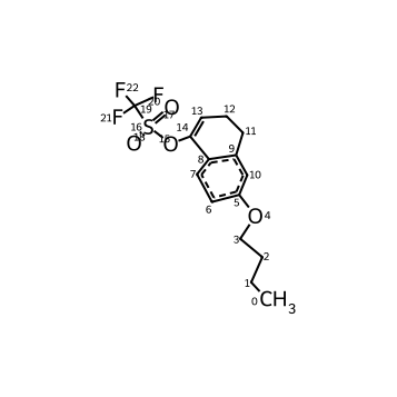 CCCCOc1ccc2c(c1)CCC=C2OS(=O)(=O)C(F)(F)F